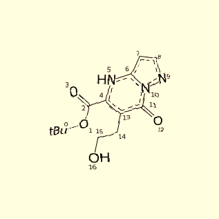 CC(C)(C)OC(=O)c1[nH]c2ccnn2c(=O)c1CCO